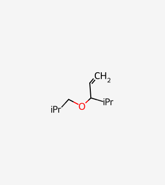 C=CC(OCC(C)C)C(C)C